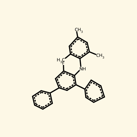 Cc1cc(C)c(Nc2c(F)cc(-c3ccccc3)cc2-c2ccccc2)c(C)c1